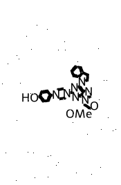 COC(=O)Cn1cnc2c(N3CCc4ccccc43)nc(N3CCN(c4ccc(O)cc4)CC3)nc21